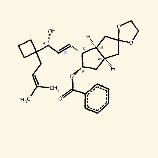 CC(C)=CCC1([C@H](O)/C=C/[C@@H]2[C@H]3CC4(C[C@H]3C[C@H]2OC(=O)c2ccccc2)OCCO4)CCC1